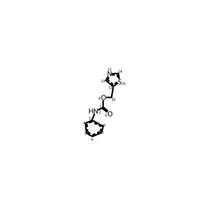 O=C(Nc1[c]cccc1)OCc1cncs1